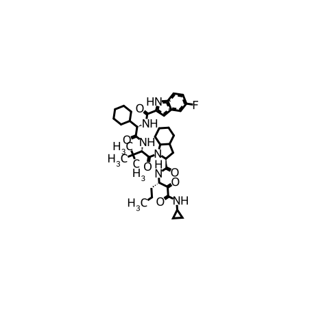 CCC[C@H](NC(=O)[C@@H]1CC2CCCCC2N1C(=O)[C@@H](NC(=O)[C@@H](NC(=O)c1cc2cc(F)ccc2[nH]1)C1CCCCC1)C(C)(C)C)C(=O)C(=O)NC1CC1